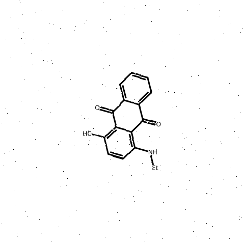 CCNc1ccc(O)c2c1C(=O)c1ccccc1C2=O